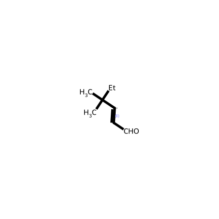 CCC(C)(C)/[C]=C/C=O